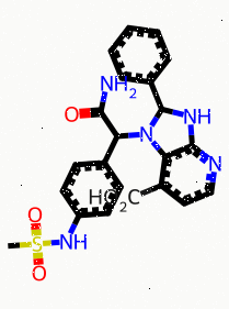 CS(=O)(=O)Nc1ccc(C(C(N)=O)N2c3c(C(=O)O)ccnc3NC2c2ccccc2)cc1